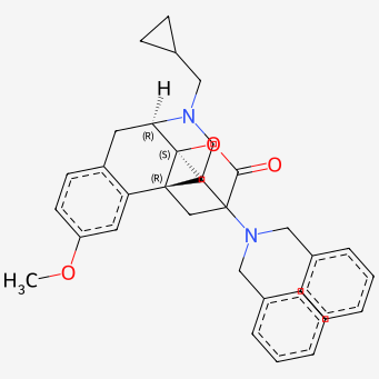 COc1ccc2c(c1)[C@]13CCN(CC4CC4)[C@H](C2)[C@]12CCC(N(Cc1ccccc1)Cc1ccccc1)(C3)C(=O)O2